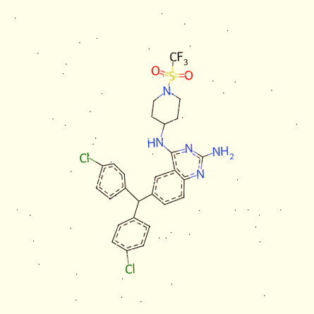 Nc1nc(NC2CCN(S(=O)(=O)C(F)(F)F)CC2)c2cc(C(c3ccc(Cl)cc3)c3ccc(Cl)cc3)ccc2n1